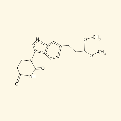 COC(CCc1ccc2c(N3CCC(=O)NC3=O)cnn2c1)OC